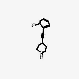 Clc1ccccc1C#CC1CCNCC1